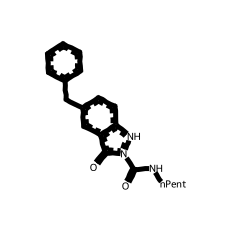 CCCCCNC(=O)n1[nH]c2ccc(Cc3ccccc3)cc2c1=O